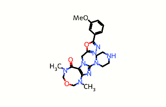 COc1cccc(-c2nnc(Cn3c(N4CCNCC4)nc4c3C(=O)N(C)COCN4C)o2)c1